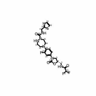 O=C(NC[C@H]1CN(c2ccc(N3CCNN(C(=O)NCc4nccs4)CC3)c(F)c2)C(=O)O1)C(F)F